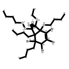 CCCCOOC(=O)C1(CCCC)C(OCCCC)(C(=O)OCC)C(Br)=C(Br)C(Br)C1(Br)CCCC